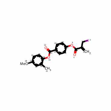 C=C(CI)C(=O)Oc1ccc(C(=O)Oc2ccc(OC)cc2C)cc1